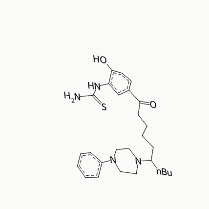 CCCCC(CCCCC(=O)c1ccc(O)c(NC(N)=S)c1)N1CCN(c2ccccc2)CC1